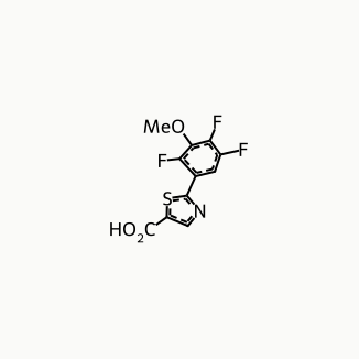 COc1c(F)c(F)cc(-c2ncc(C(=O)O)s2)c1F